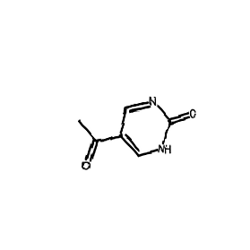 CC(=O)c1cnc(=O)[nH]c1